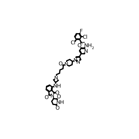 C[C@@H](Oc1cc(-c2cnn(C3CCN(C(=O)CCCCN4CC(Nc5cccc6c5C(=O)N(C5CCC(=O)NC5=O)C6=O)C4)CC3)c2)cnc1N)c1c(Cl)ccc(F)c1Cl